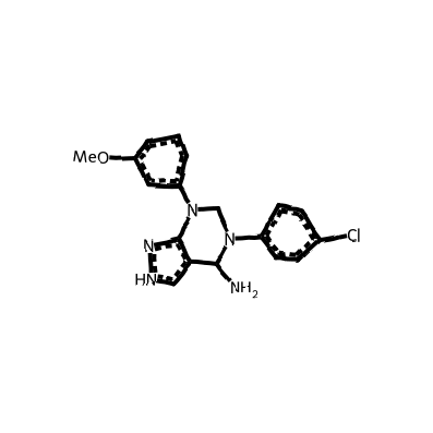 COc1cccc(N2CN(c3ccc(Cl)cc3)C(N)c3c[nH]nc32)c1